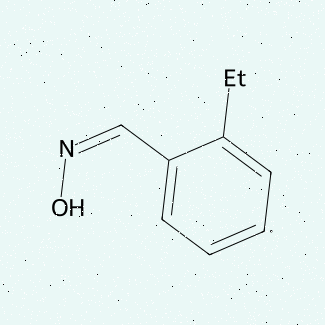 CCc1c[c]ccc1/C=N\O